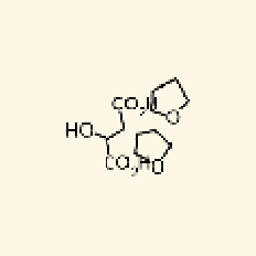 C1CCOC1.C1CCOC1.O=C(O)CC(O)C(=O)O